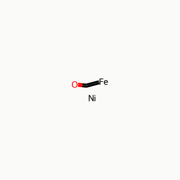 O=[C]=[Fe].[Ni]